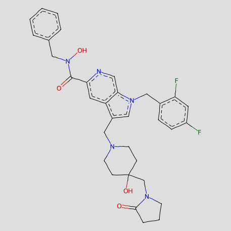 O=C(c1cc2c(CN3CCC(O)(CN4CCCC4=O)CC3)cn(Cc3ccc(F)cc3F)c2cn1)N(O)Cc1ccccc1